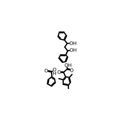 Cc1cc(C)c(C(=O)C(=O)O)c(C)c1.O=C(O)c1ccccc1.OC(CC(O)c1ccccc1)c1ccccc1